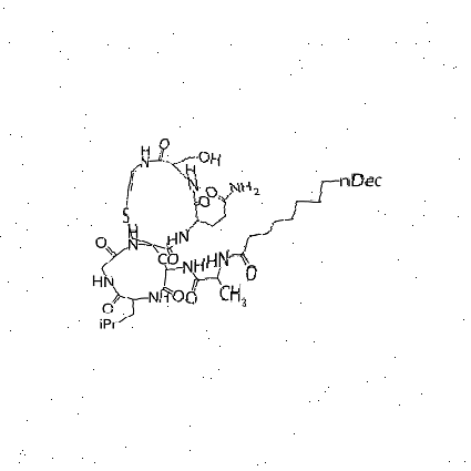 CCCCCCCCCCCCCCCCCC(=O)NC(C)C(=O)NC1CC2(CS/C=C\NC(=O)C(CO)NC(=O)C(CCC(N)=O)NC2=O)NC(=O)CNC(=O)C(CC(C)C)NC1=O